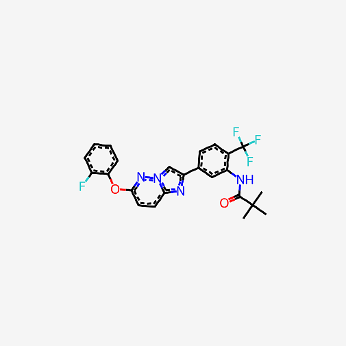 CC(C)(C)C(=O)Nc1cc(-c2cn3nc(Oc4ccccc4F)ccc3n2)ccc1C(F)(F)F